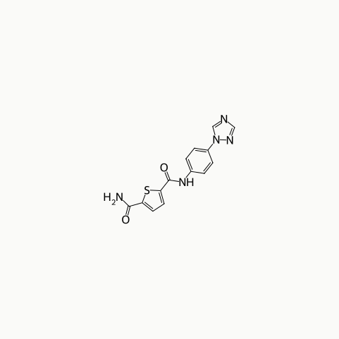 NC(=O)c1ccc(C(=O)Nc2ccc(-n3cncn3)cc2)s1